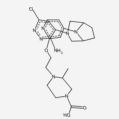 CC1CN(C(=O)O)CCN1CCOc1cc(N2C3CCC2CN(c2cc(Cl)nnc2N)C3)ccn1